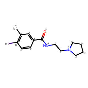 CCc1cc(C(=O)NCCN2CCCC2)ccc1I